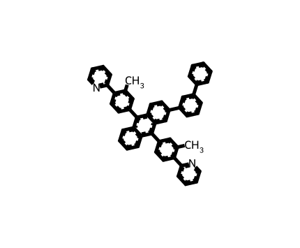 Cc1cc(-c2c3ccccc3c(-c3ccc(-c4ccccn4)c(C)c3)c3cc(-c4cccc(-c5ccccc5)c4)ccc23)ccc1-c1ccccn1